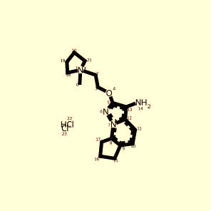 C[N+]1(CCOc2nn3c4c(ccc3c2N)CCC4)CCCC1.Cl.[Cl-]